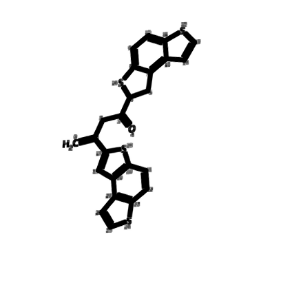 C=C(CC(=O)C1Cc2c(ccc3sccc23)S1)c1cc2c(ccc3sccc32)s1